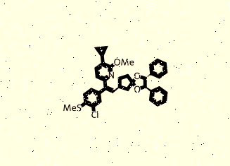 COc1nc(/C(=C\[C@H]2CCC3(C2)O[C@H](c2ccccc2)[C@@H](c2ccccc2)O3)c2ccc(SC)c(Cl)c2)ccc1C1CC1